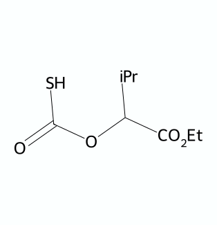 CCOC(=O)C(OC(=O)S)C(C)C